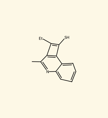 CCC1=C(S)c2c1c(C)nc1ccccc21